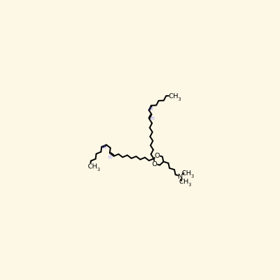 CCCCC/C=C\C=C\CCCCCCCCC1(CCCCCCCC/C=C\C/C=C\CCCCC)OCC(CCCCN(C)C)CO1